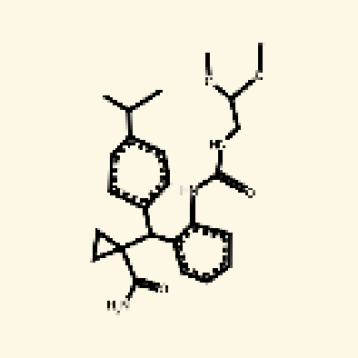 COC(CNC(=O)Nc1ccccc1C(c1ccc(C(C)C)cc1)C1(C(N)=O)CC1)OC